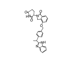 CC(c1ccc(COc2cccc3c2CN(C2CCC(=O)NC2=O)C3=O)cc1)c1nc2ccccc2[nH]1